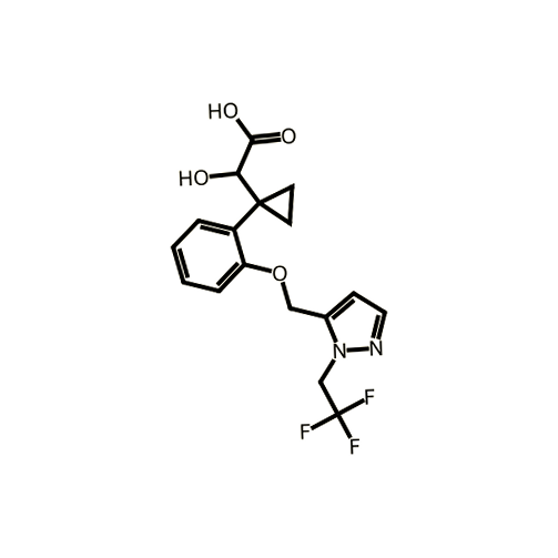 O=C(O)C(O)C1(c2ccccc2OCc2ccnn2CC(F)(F)F)CC1